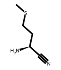 CSCC[C@H](N)C#N